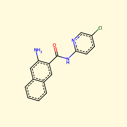 Nc1cc2ccccc2cc1C(=O)Nc1ccc(Cl)cn1